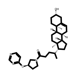 CC(CCC(=O)N1CC[C@@H](Oc2ccncn2)C1)[C@H]1CC[C@H]2[C@@H]3CC=C4C[C@@H](O)CC[C@]4(C)[C@H]3CC[C@]12C